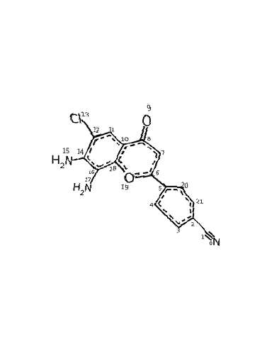 N#Cc1ccc(-c2cc(=O)c3cc(Cl)c(N)c(N)c3o2)cc1